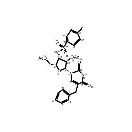 CC(=O)OC[C@H]1O[C@@H](n2cc(Cc3ccccc3)c(=O)[nH]c2=O)[C@H](OC(C)=O)[C@H]1OS(=O)(=O)c1ccc(C)cc1